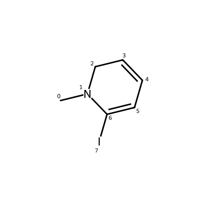 CN1CC=CC=C1I